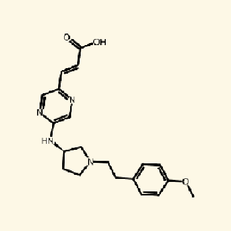 COc1ccc(CCN2CC[C@@H](Nc3cnc(C=CC(=O)O)cn3)C2)cc1